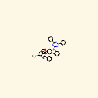 C/C1=C(c2ccccc2)\N=C(\c2ccccc2)c2c(oc3cc4c(cc23)c2ccccc2n4-c2nc(-c3ccccc3)nc(-c3ccccc3)n2)CC1